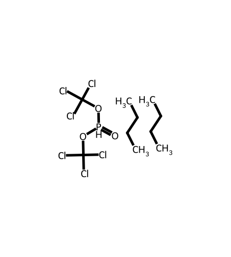 CCCC.CCCC.O=[PH](OC(Cl)(Cl)Cl)OC(Cl)(Cl)Cl